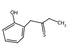 CCC(=S)Cc1ccccc1O